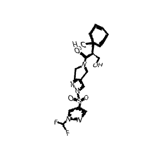 CC1([C@@H](CO)C(=O)N2Cc3cn(S(=O)(=O)c4cnn(C(F)F)c4)nc3C2)C=CC=CC1